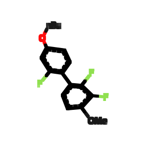 CCCCOc1ccc(-c2ccc(OC)c(F)c2F)c(F)c1